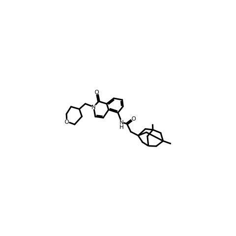 CC12CC3CC(C)(C1)CC(CC(=O)Nc1cccc4c(=O)n(CC5CCOCC5)ccc14)(C3)C2